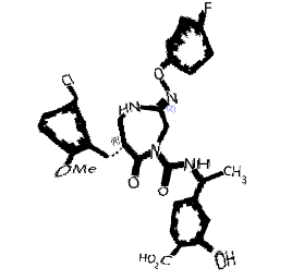 COc1ccc(Cl)cc1C[C@@H]1CN/C(=N\Oc2ccc(F)cc2)CN(C(=O)NC(C)c2ccc(C(=O)O)c(O)c2)C1=O